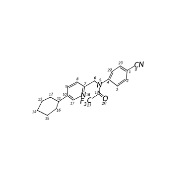 N#Cc1ccc(N(Cc2ccc(C3CCCCC3)cn2)C(=O)C(F)(F)F)cc1